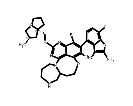 C[C@H]1CN2CCC[C@@]2(COc2nc3c4c(c(Cl)c(-c5ccc(F)c6sc(N)c(C#N)c56)c(F)c4n2)OCCC2CNCCCN32)C1